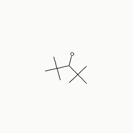 CC(C)(C)C([O])C(C)(C)C